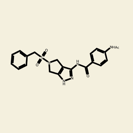 CC(=O)Nc1ccc(C(=O)Nc2n[nH]c3c2CN(S(=O)(=O)Cc2ccccc2)C3)cc1